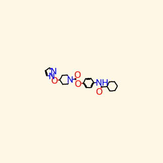 O=C(Nc1ccc(OC(=O)N2CCC(On3cccn3)CC2)cc1)C1CCCCC1